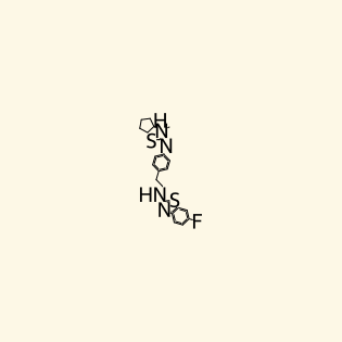 CN1/C(=N/c2ccc(CCNc3nc4ccc(F)cc4s3)cc2)SC2CCC[C@H]21